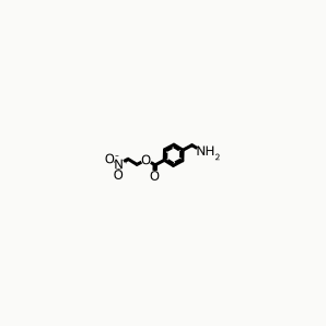 NCc1ccc(C(=O)OCC[N+](=O)[O-])cc1